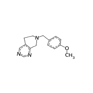 COc1ccc(CN2CCc3cncnc3C2)cc1